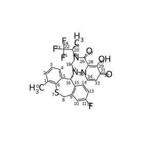 Cc1cccc2c1SCc1cc(F)ccc1[C@@H]2N1CN([C@H](C)C(F)(F)F)C(=O)c2c(O)c(=O)ccn21